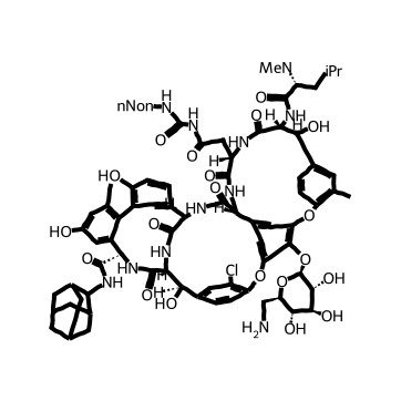 CCCCCCCCCNC(=O)NC(=O)C[C@@H]1NC(=O)[C@H](NC(=O)[C@@H](CC(C)C)NC)[C@H](O)c2ccc(c(C)c2)Oc2cc3cc(c2O[C@@H]2O[C@H](CN)[C@@H](O)[C@H](O)[C@H]2O)Oc2ccc(cc2Cl)[C@@H](O)[C@@H]2NC(=O)[C@H](NC(=O)[C@@H]3NC1=O)c1ccc(O)c(c1)-c1c(C)cc(O)cc1[C@@H](C(=O)NC1C3CC4CC(C3)CC1C4)NC2=O